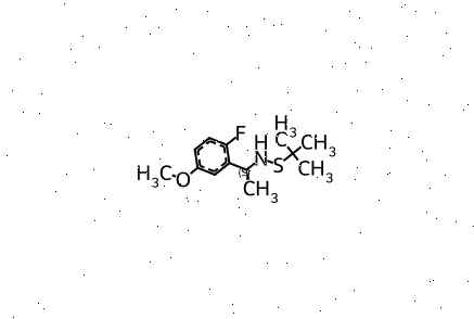 COc1ccc(F)c([C@H](C)NSC(C)(C)C)c1